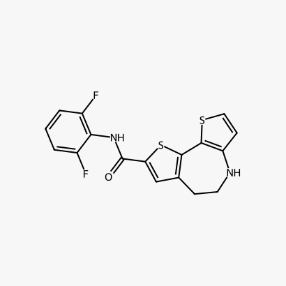 O=C(Nc1c(F)cccc1F)c1cc2c(s1)-c1sccc1NCC2